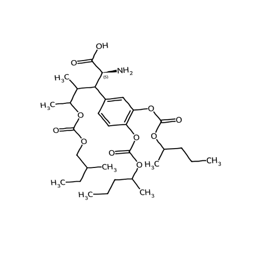 CCCC(C)OC(=O)Oc1ccc(C(C(C)C(C)OC(=O)OCC(C)CC)[C@H](N)C(=O)O)cc1OC(=O)OC(C)CCC